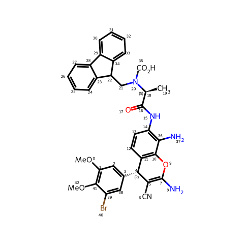 COc1cc([C@H]2C(C#N)=C(N)Oc3c2ccc(NC(=O)[C@H](C)N(CC2c4ccccc4-c4ccccc42)C(=O)O)c3N)cc(Br)c1OC